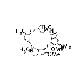 COc1cc2c3cc1Oc1c(OC)c(OC)cc4c1[C@H](Cc1ccc(cc1)Oc1cc(ccc1C)C[C@H]3N(C)CC2)N(C)CC4